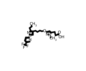 CCCc1nn(-c2ccc(C(F)(F)F)cn2)cc1CCCCOc1cc(CCC(=O)O)n(C)n1